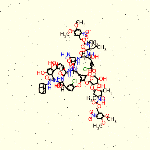 COc1cc(COC(=O)N[C@@]2(C)C[C@H](O[C@H]3[C@H](Oc4c5cc6cc4Oc4ccc(cc4Cl)[C@@H](O)[C@@H](NC(=O)[C@@H](CC(C)C)N(C)C(=O)OCc4cc(OC)c(OC)cc4[N+](=O)[O-])C(=O)N[C@@H](CC(N)=O)C(=O)N[C@H]6C(=O)N[C@H]4C(=O)N[C@H](C(=O)N[C@H](C(=O)NC6C7CC8CC(C7)CC6C8)c6cc(O)cc(O)c6-c6cc4ccc6O)[C@H](O)c4ccc(c(Cl)c4)O5)O[C@H](CO)[C@@H](O)[C@@H]3O)O[C@@H](C)[C@H]2O)c([N+](=O)[O-])cc1OC